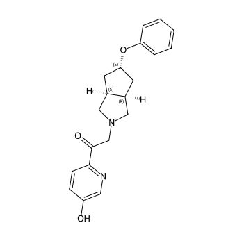 O=C(CN1C[C@H]2C[C@H](Oc3ccccc3)C[C@H]2C1)c1ccc(O)cn1